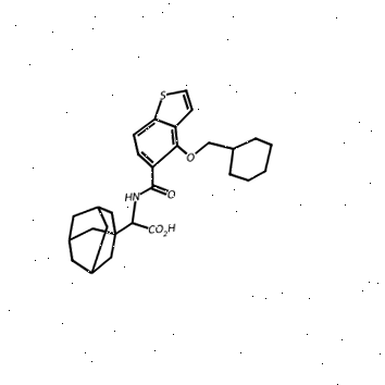 O=C(NC(C(=O)O)C12CC3CC(CC(C3)C1)C2)c1ccc2sccc2c1OCC1CCCCC1